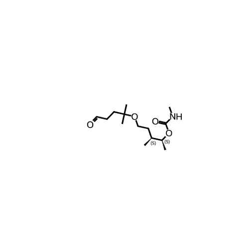 CNC(=O)O[C@@H](C)[C@@H](C)CCOC(C)(C)CCC=O